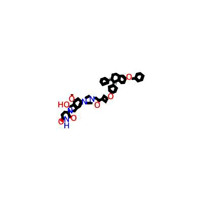 COc1cc(N2CCN(CC(=O)C3CC(Oc4ccc([C@@H]5c6ccc(OCc7ccccc7)cc6CC[C@@H]5c5ccccc5)cc4)C3)CC2)cc2c1C(O)N(C1CCC(=O)NC1=O)C2